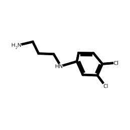 NCCCNc1ccc(Cl)c(Cl)c1